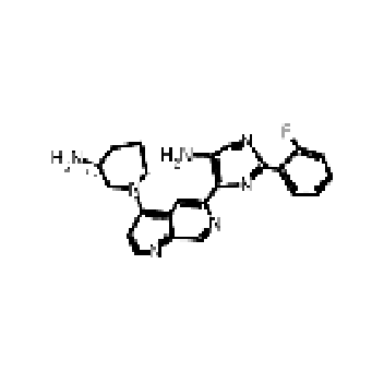 Nc1cnc(-c2ccccc2F)nc1-c1cc2c(N3CCC[C@H](N)C3)ccnc2cn1